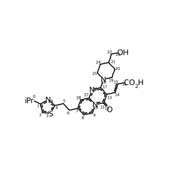 CC(C)c1csc(CCc2ccn3c(=O)c(C=CC(=O)O)c(N4CCC(CO)CC4)nc3c2)n1